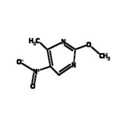 COc1ncc([N+](=O)[O-])c(C)n1